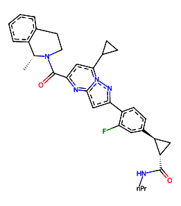 CCCNC(=O)[C@H]1C[C@@H]1c1ccc(-c2cc3nc(C(=O)N4CCc5ccccc5[C@H]4C)cc(C4CC4)n3n2)c(F)c1